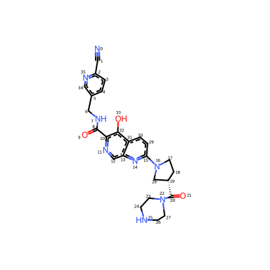 N#Cc1ccc(CNC(=O)c2ncc3nc(N4CC[C@H](C(=O)N5CCNCC5)C4)ccc3c2O)cn1